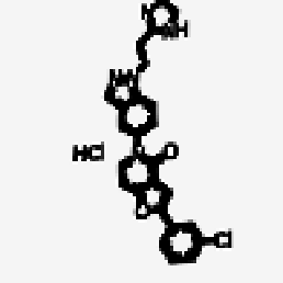 Cl.O=c1c2cc(-c3cccc(Cl)c3)oc2ccn1-c1ccc2c(cnn2CCC2=NCCN2)c1